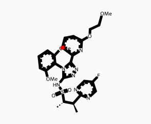 COCCOc1cccc(-c2nnc(NS(=O)(=O)[C@@H](C)[C@H](C)c3ncc(F)cn3)n2-c2c(OC)cccc2OC)n1